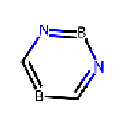 b1cnbnc1